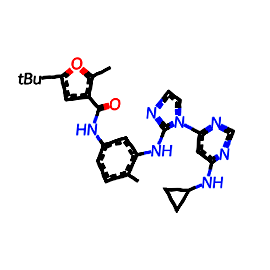 Cc1ccc(NC(=O)c2cc(C(C)(C)C)oc2C)cc1Nc1nccn1-c1cc(NC2CC2)ncn1